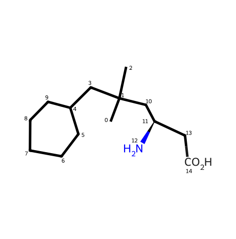 CC(C)(CC1CCCCC1)C[C@H](N)CC(=O)O